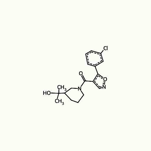 CC(C)(O)C1CCCN(C(=O)c2cnoc2-c2cccc(Cl)c2)C1